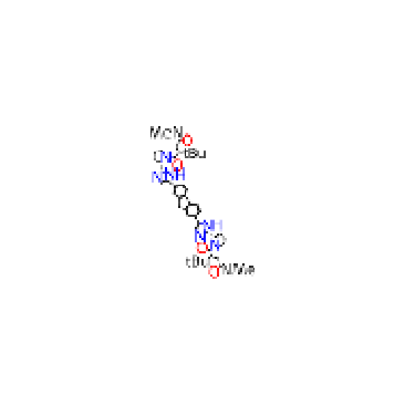 CNC(=O)C[C@H](C(=O)N1CCC[C@H]1c1ncc(-c2ccc3c(c2)Cc2cc(-c4cnc([C@@H]5CCCN5C(=O)[C@@H](CC(=O)NC)C(C)(C)C)[nH]4)ccc2-3)[nH]1)C(C)(C)C